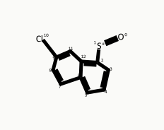 O=[S+]c1cccc2ccc(Cl)cc12